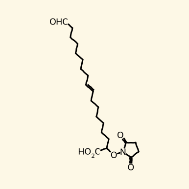 O=CCCCCCCCC=CCCCCCCC(ON1C(=O)CCC1=O)C(=O)O